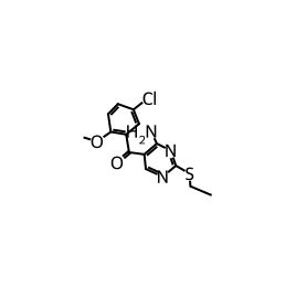 CCSc1ncc(C(=O)c2cc(Cl)ccc2OC)c(N)n1